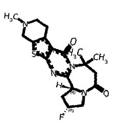 CN1CCc2c(sc3nc4n(c(=O)c23)C(C)(C)CC(=O)N2C[C@H](F)C[C@H]42)C1